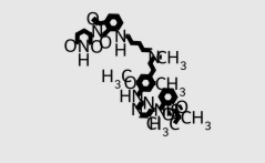 COc1cc(CCN(C)CCCCCNc2cccc3c2C(=O)N(C2CCC(=O)NC2=O)C3=O)c(C)cc1Nc1ncc(Cl)c(Nc2ccccc2S(=O)(=O)C(C)C)n1